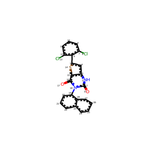 O=c1[nH]c2cc(-c3c(Cl)cccc3Cl)sc2c(=O)n1-c1cccc2ccccc12